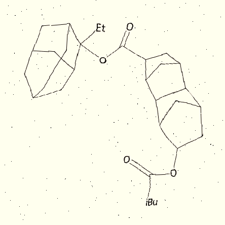 CCC(C)C(=O)OC1CC2CC1C1C3CC(CC3C(=O)OC3(CC)C4CC5CC(C4)CC3C5)C21